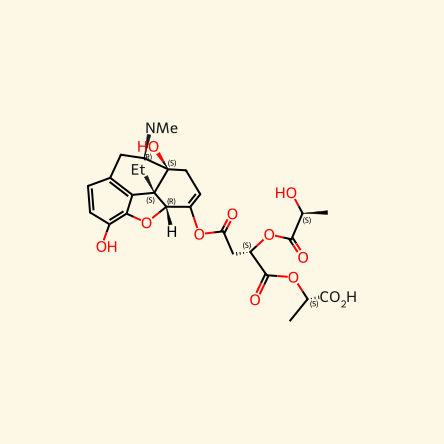 CC[C@]12c3c4ccc(O)c3O[C@H]1C(OC(=O)C[C@H](OC(=O)[C@H](C)O)C(=O)O[C@@H](C)C(=O)O)=CC[C@@]2(O)[C@H](NC)C4